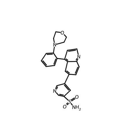 NS(=O)(=O)c1cncc(-c2ccc3nccc(-c4ccccc4N4CCOCC4)c3c2)c1